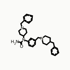 NC(=O)N(c1cccc(CN2CCC(Cc3ccccc3)CC2)c1)C1CCN(Cc2ccccc2)CC1